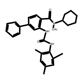 CC(=O)ON(C(=O)c1ccc(-c2ccccc2)cc1NC(=O)Nc1c(C)cc(C)cc1C)C1CCCCC1